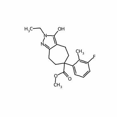 CCn1nc2c(c1O)CCC(C(=O)OC)(c1cccc(F)c1C)CC2